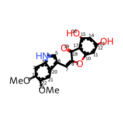 COc1cc2[nH]cc(C=C3Oc4cc(O)cc(O)c4C3=O)c2cc1OC